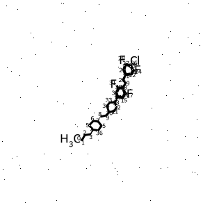 CCCC[C@H]1CC[C@H](CCC2CCC(c3cc(F)c(CCc4cc(F)c(Cl)c(F)c4)c(F)c3)CC2)CC1